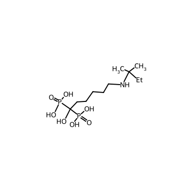 CCC(C)(C)NCCCCCC(O)(P(=O)(O)O)P(=O)(O)O